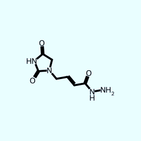 NNC(=O)C=CCN1CC(=O)NC1=O